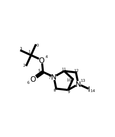 CC(C)(C)OC(=O)N1CC2CC1CN2I